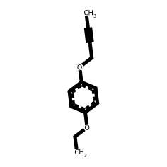 CC#CCOc1ccc(OCC)cc1